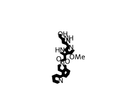 COc1cnc(-c2cc(CO)[nH]n2)c2c1C(C(=O)C(=O)N1CCc3c(cccc3-c3ccccn3)C1)CN2